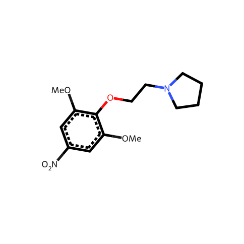 COc1cc([N+](=O)[O-])cc(OC)c1OCCN1CCCC1